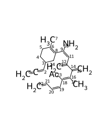 C=C=CC1CCC(C)=C(/C(N)=C\C(=C)C(=C)/C(C)=C(/C=C\C=C)C(C)=O)C1